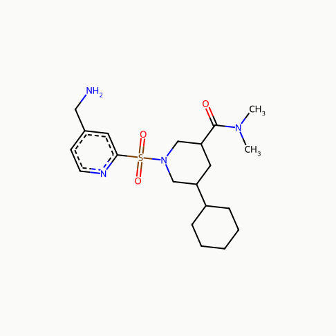 CN(C)C(=O)C1CC(C2CCCCC2)CN(S(=O)(=O)c2cc(CN)ccn2)C1